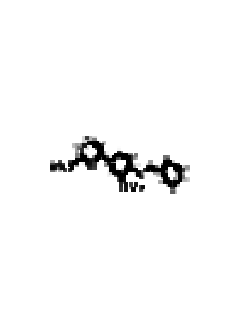 COc1cc(-c2cnnc(SC)n2)ccc1OCc1ccccc1